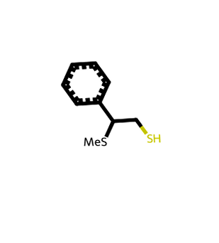 CSC(CS)c1ccccc1